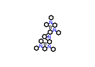 c1ccc(N2c3ccccc3B3c4cc5c6cccc7c8c9c(ccc8n(c5cc4N(c4ccccc4)c4cccc2c43)c67)N(c2ccccc2)c2cccc3c2B9c2ccccc2N3c2ccccc2)cc1